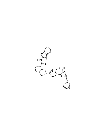 O=C(Nc1nc2ccccc2s1)c1cccc2c1CN(c1ccc(-c3cnn(Cc4cccnc4)c3)c(C(=O)O)n1)CC2